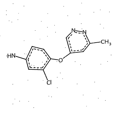 Cc1cc(Oc2ccc([NH])cc2Cl)cnn1